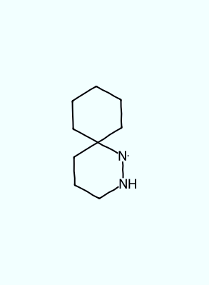 C1CCC2(CC1)CCCN[N]2